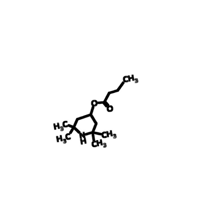 CCCC(=O)OC1CC(C)(C)NC(C)(C)C1